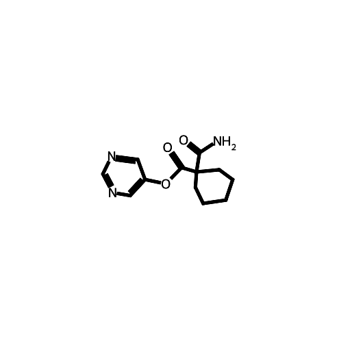 NC(=O)C1(C(=O)Oc2cncnc2)CCCCC1